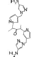 CC(C(=O)C(C)c1cc(Cn2cc(N)cn2)ccn1)c1cc(Cn2cc(N)cn2)ccn1